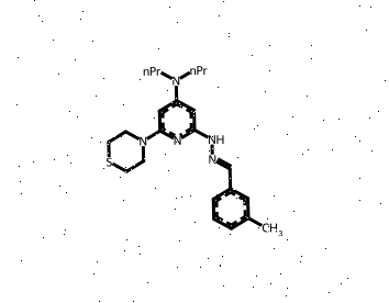 CCCN(CCC)c1cc(N/N=C/c2cccc(C)c2)nc(N2CCSCC2)c1